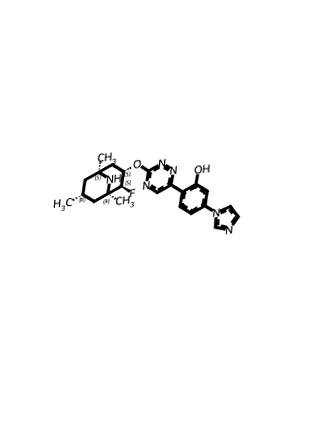 C[C@@H]1C[C@@]2(C)C[C@H](Oc3ncc(-c4ccc(-n5ccnc5)cc4O)nn3)[C@@H](F)[C@@](C)(C1)N2